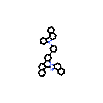 c1cc(-c2ccc3c4ccc5ccccc5c4c4nc5c6ccccc6ccc5n4c3c2)cc(-n2c3ccccc3c3c4ccccc4ccc32)c1